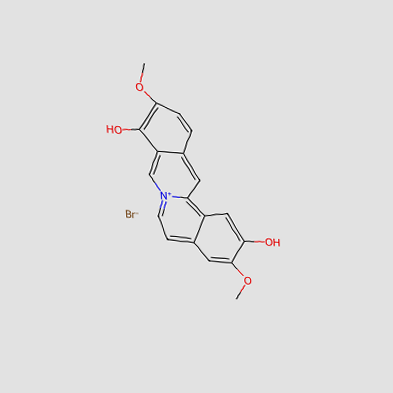 COc1cc2cc[n+]3cc4c(O)c(OC)ccc4cc3c2cc1O.[Br-]